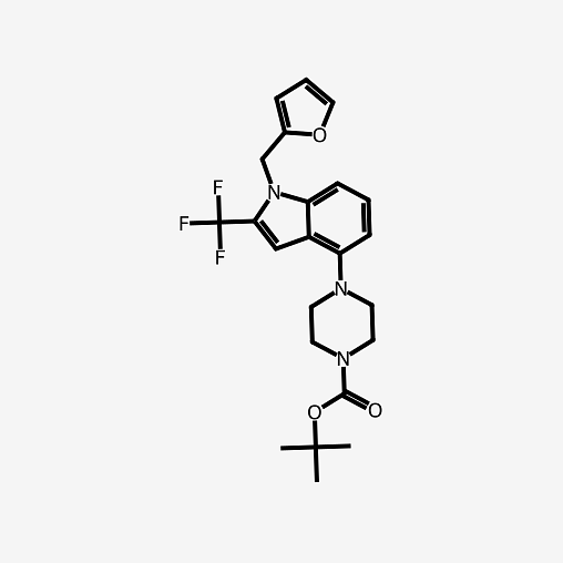 CC(C)(C)OC(=O)N1CCN(c2cccc3c2cc(C(F)(F)F)n3Cc2ccco2)CC1